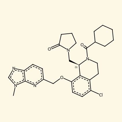 Cn1cnc2ccc(COc3ccc(Cl)c4c3[C@@H](CN3CCCC3=O)N(C(=O)C3CCCCC3)CC4)nc21